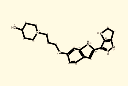 OC1CCN(CCCOc2ccc3cc(-c4n[nH]c5c4SCC5)[nH]c3c2)CC1